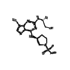 CC[C@H](CO)Nc1nc(N[C@H]2CCN(S(=O)(=O)NC)C2)c2ncn(CC)c2n1